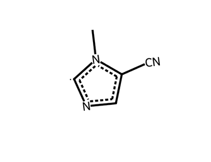 Cn1[c]ncc1C#N